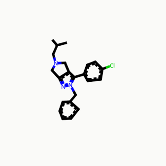 C[C](C)CN1Cc2nn(Cc3ccccc3)c(-c3ccc(Cl)cc3)c2C1